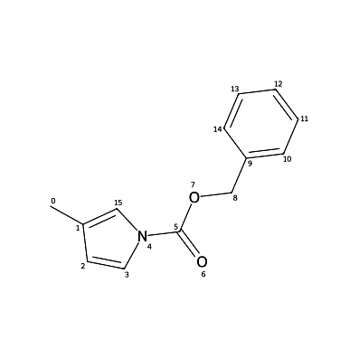 Cc1ccn(C(=O)OCc2ccccc2)c1